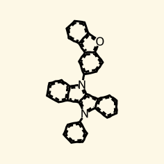 c1ccc(-n2c3ccccc3c3c2c2ccccc2n3-c2ccc3oc4ccccc4c3c2)cc1